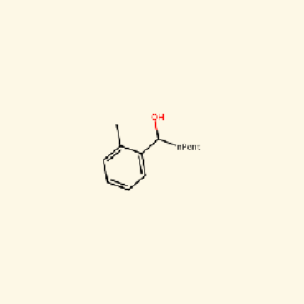 CCCCCC(O)c1ccccc1C